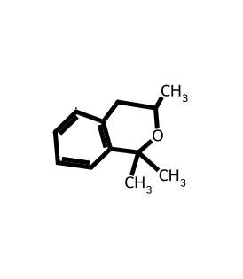 CC1Cc2[c]cccc2C(C)(C)O1